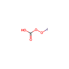 O=C(O)OOI